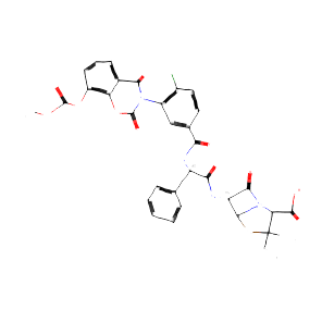 COC(=O)Oc1cccc2c(=O)n(-c3cc(C(=O)N[C@@H](C(=O)N[C@@H]4C(=O)N5C4SC(C)(C)C5C(=O)O)c4ccccc4)ccc3Cl)c(=O)oc12